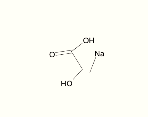 O=C(O)CO.[CH3][Na]